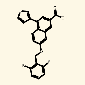 O=C(O)c1cc(-c2ccsc2)c2ccc(OCc3c(F)cccc3F)cc2c1